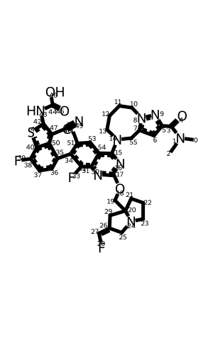 CN(C)C(=O)c1cc2n(n1)CCCCN(c1nc(OCC34CCCN3C/C(=C\F)C4)nc3c(F)c(-c4ccc(F)c5sc(NC(=O)O)c(C#N)c45)c(Cl)cc13)C2